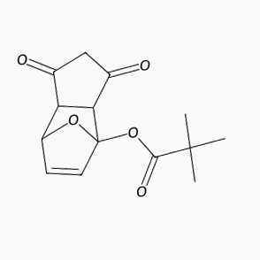 CC(C)(C)C(=O)OC12C=CC(O1)C1C(=O)CC(=O)C12